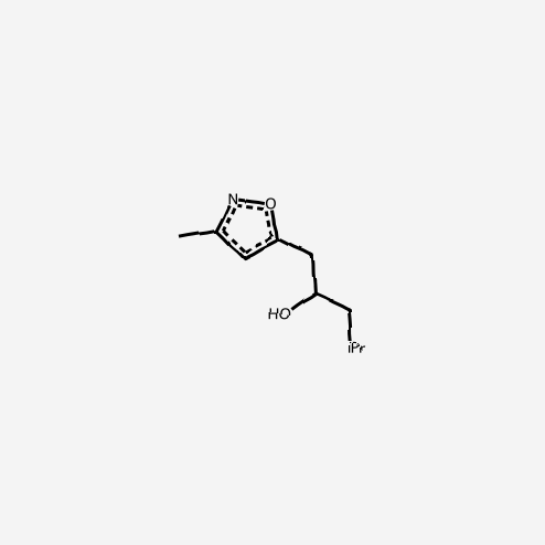 Cc1cc(CC(O)CC(C)C)on1